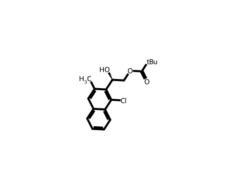 Cc1cc2ccccc2c(Cl)c1[C@@H](O)COC(=O)C(C)(C)C